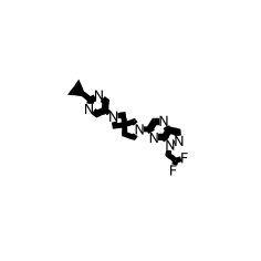 FC(F)Cn1ncc2ncc(N3CCC4(CN(c5cnc(C6CC6)nc5)C4)C3)nc21